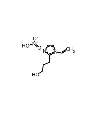 C=Cn1ccnc1CCCO.O=[N+]([O-])O